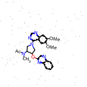 COc1cc2ncnc(N3CC(Oc4cnc5ccccc5n4)C(N(C)C(C)=O)C3)c2cc1OC